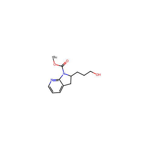 CC(C)(C)OC(=O)N1c2ncccc2CC1CCCO